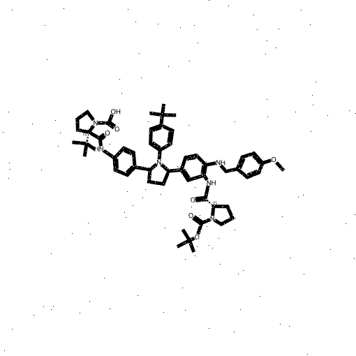 COc1ccc(CNc2ccc(C3CCC(c4ccc(NC(=O)[C@@]5(C(C)(C)C)CCCN5C(=O)O)cc4)N3c3ccc(C(C)(C)C)cc3)cc2NC(=O)[C@@H]2CCCN2C(=O)OC(C)(C)C)cc1